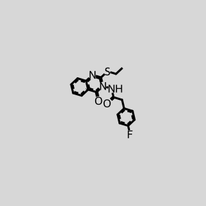 CCSc1nc2ccccc2c(=O)n1NC(=O)Cc1ccc(F)cc1